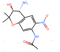 CC(=O)Nc1cc2c(cc1[N+](=O)[O-])[C@@H](N)[C@H](O)C(C)(C)O2